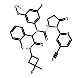 CSc1cc(F)cc(N(C(=O)[C@@H]2CCC(=O)N2c2cc(C#N)ccn2)C(C(=O)NC2CC(F)(F)C2)c2ccccc2Cl)c1